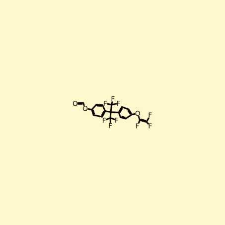 O=COc1ccc(C(c2ccc(OC(F)=C(F)F)cc2)(C(F)(F)F)C(F)(F)F)cc1